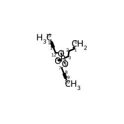 C=CCCP(=O)(OCC#CC)OCC#CC